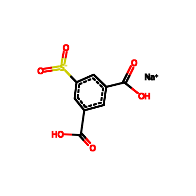 O=C(O)c1cc(C(=O)O)cc([S-](=O)=O)c1.[Na+]